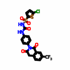 O=C(Nc1ccc(N2C(=O)Cc3ccc(C(F)(F)F)cc3C2=O)cc1)NS(=O)(=O)c1ccc(Cl)s1